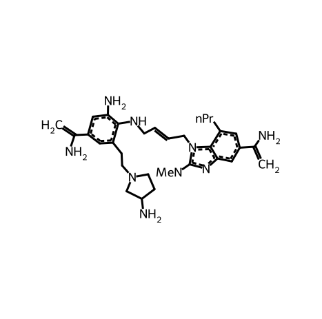 C=C(N)c1cc(N)c(NC/C=C/Cn2c(NC)nc3cc(C(=C)N)cc(CCC)c32)c(CCN2CCC(N)C2)c1